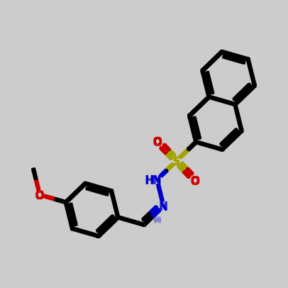 COc1ccc(/C=N\NS(=O)(=O)c2ccc3ccccc3c2)cc1